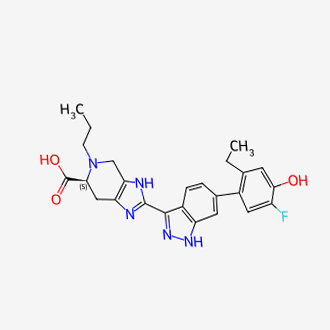 CCCN1Cc2[nH]c(-c3n[nH]c4cc(-c5cc(F)c(O)cc5CC)ccc34)nc2C[C@H]1C(=O)O